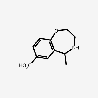 CC1NCCOc2ccc(C(=O)O)cc21